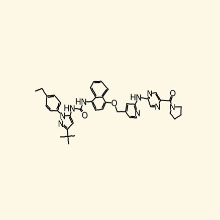 CCc1ccc(-n2nc(C(C)(C)C)cc2NC(=O)Nc2ccc(OCc3ccnc(Nc4cnc(C(=O)N5CCCC5)cn4)c3)c3ccccc23)cc1